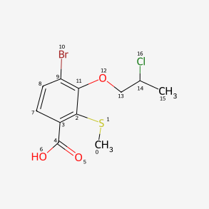 CSc1c(C(=O)O)ccc(Br)c1OCC(C)Cl